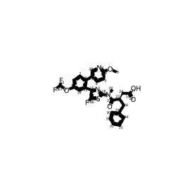 COc1ccc(-c2ccc(OC(F)F)cc2-c2nc(N(C)C(=O)[C@@H](CC(=O)O)Cc3ccccc3)sc2F)cn1